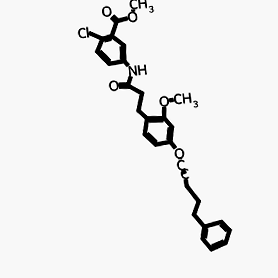 COC(=O)c1cc(NC(=O)CCc2ccc(OCCCCCc3ccccc3)cc2OC)ccc1Cl